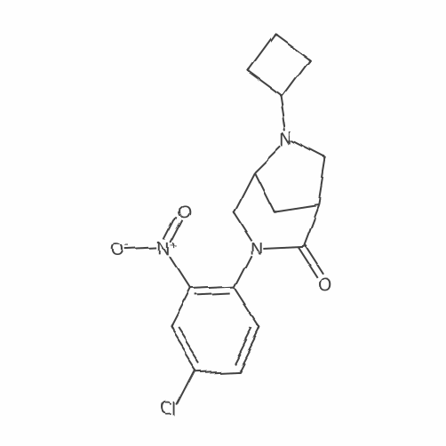 O=C1C2CC(CN1c1ccc(Cl)cc1[N+](=O)[O-])N(C1CCC1)C2